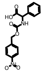 O=C(NC(C(=O)O)c1ccccc1)OCc1ccc([N+](=O)[O-])cc1